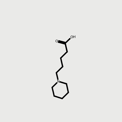 O=C(O)CCCCN1CCCCC1